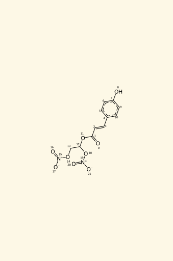 O=C(/C=C/c1ccc(O)cc1)OC(CO[N+](=O)[O-])O[N+](=O)[O-]